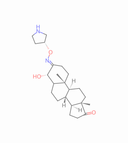 C[C@]12CC/C(=N\O[C@@H]3CCNC3)[C@@H](O)C1CC[C@@H]1[C@@H]2CC[C@]2(C)C(=O)CC[C@@H]12